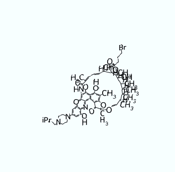 C/C1=C/C=C/[C@H](C)[C@H](OC(=O)CCCBr)[C@@H](C)[C@@H](O)[C@@H](C)[C@H](C)[C@H](C)[C@@H](C)/C=C/O[C@@]2(C)Oc3c(C)c(O)c4c(=O)c(c5oc6cc(N7CCN(CC(C)C)CC7)cc(O)c6nc-5c4c3C2=O)NC1=O